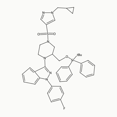 CC(C)(C)[Si](OCC1CN(S(=O)(=O)c2cnn(CC3CC3)c2)CCN1c1nn(-c2ccc(F)cc2)c2ccccc12)(c1ccccc1)c1ccccc1